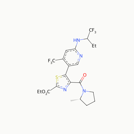 CCOC(=O)c1nc(C(=O)N2CCC[C@@H]2C)c(-c2cnc(NC(CC)C(F)(F)F)cc2C(F)(F)F)s1